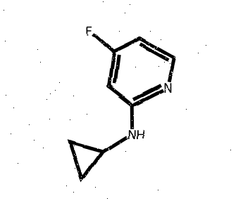 Fc1ccnc(NC2CC2)c1